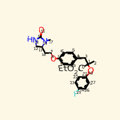 CCOC(=O)C(C)(Cc1ccc(OCCC2CNC(=O)N2C)cc1)Oc1ccc(F)cc1